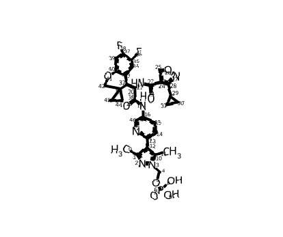 Cc1nn(COP(=O)(O)O)c(C)c1-c1ccc(NC(=O)[C@@H](NC(=O)c2conc2C2CC2)C2c3cc(F)c(F)cc3OCC23CC3)cn1